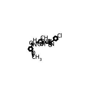 CCOc1cccc(C(=O)NC[C@H](O)C[C@H](C)C(=O)NCc2nc(-c3ccc(Cl)cc3)no2)c1